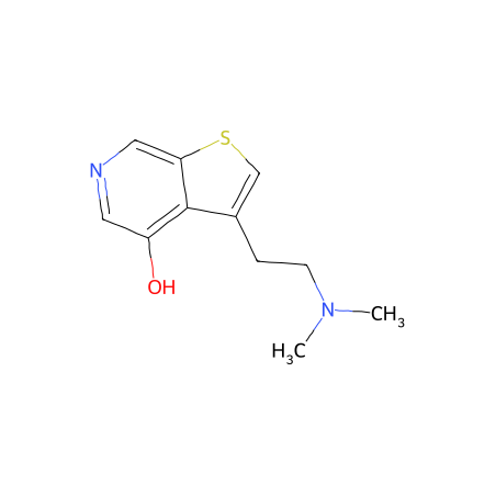 CN(C)CCc1csc2cncc(O)c12